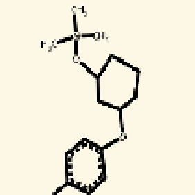 C[Si](C)(C)OC1CCCC(Oc2ccc(I)cc2)C1